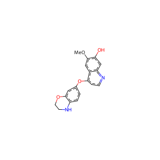 COc1cc2c(Oc3ccc4c(c3)OCCN4)ccnc2cc1O